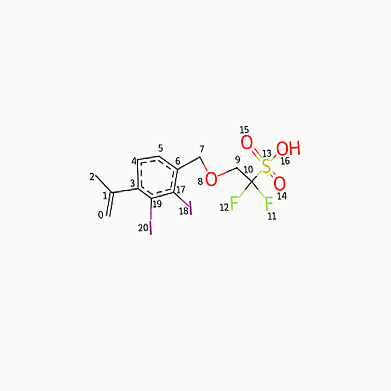 C=C(C)c1ccc(COCC(F)(F)S(=O)(=O)O)c(I)c1I